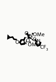 COCO[C@@]1(Cc2cc(OCCCC3CC3)ccn2)C(=O)N(COC)[C@H]1COc1ccc(C(F)(F)F)cn1